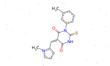 Cc1cccc(N2C(=O)C(=Cc3cccn3C)C(=O)NC2=S)c1